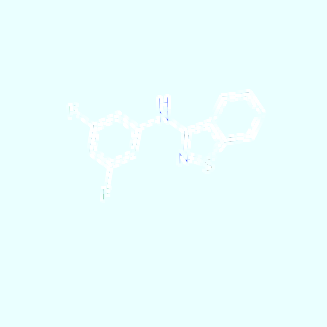 Fc1cc(F)cc(Nc2nsc3ccccc23)c1